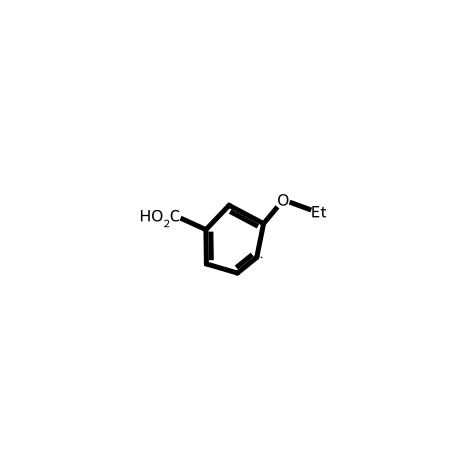 CCOc1[c]ccc(C(=O)O)c1